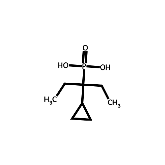 CCC(CC)(C1CC1)P(=O)(O)O